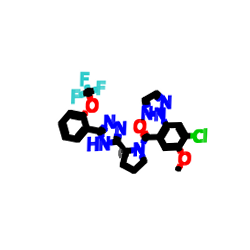 COc1cc(C(=O)N2CCC[C@H]2c2nnc(-c3ccccc3OC(F)(F)F)[nH]2)c(-n2nccn2)cc1Cl